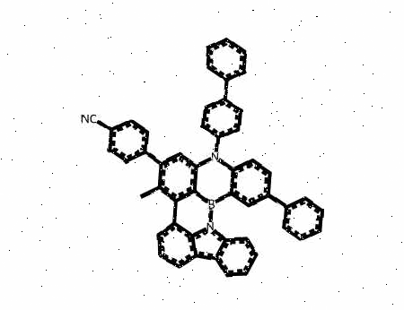 Cc1c(-c2ccc(C#N)cc2)cc2c3c1-c1cccc4c5ccccc5n(c14)B3c1cc(-c3ccccc3)ccc1N2c1ccc(-c2ccccc2)cc1